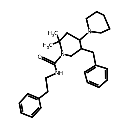 CC1(C)CC(N2CCCCC2)C(Cc2ccccc2)CN1C(=O)NCCc1ccccc1